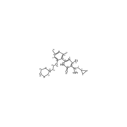 CCCN(CC1CC1)c1c(CC)nc(-c2c(C)cc(C)cc2OCCN2CCOCC2)[nH]c1=O